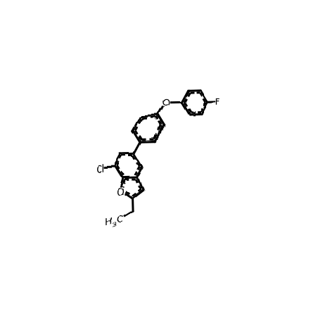 CCc1cc2cc(-c3ccc(Oc4ccc(F)cc4)cc3)cc(Cl)c2o1